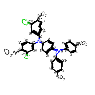 O=[N+]([O-])c1ccc(N(c2ccc(N(c3ccc([N+](=O)[O-])c(Cl)c3)c3ccc([N+](=O)[O-])c(Cl)c3)cc2)c2ccc([N+](=O)[O-])cc2)cc1